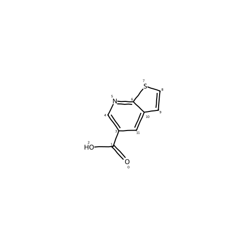 O=C(O)c1cnc2sccc2c1